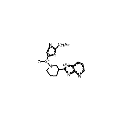 CC(=O)Nc1ncc([S+]([O-])N2CCCC(c3nc4ncccc4[nH]3)C2)s1